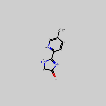 O=Cc1ccc(C2=NC(=O)CN2)nc1